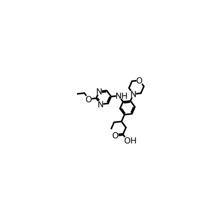 CCOc1ncc(Nc2cc(C(CC)CC(=O)O)ccc2N2CCOCC2)cn1